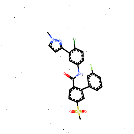 Cn1ccc(-c2cc(NC(=O)c3ccc(S(C)(=O)=O)cc3-c3cccc(F)c3)ccc2Cl)n1